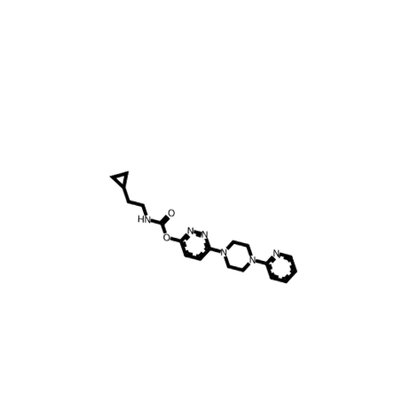 O=C(NCCC1CC1)Oc1ccc(N2CCN(c3ccccn3)CC2)nn1